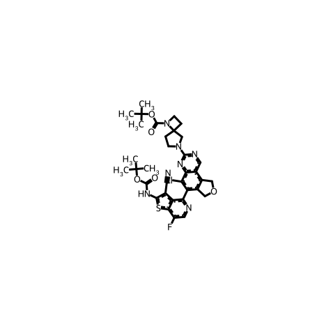 CC(C)(C)OC(=O)Nc1sc2c(F)cnc(-c3c4c(c5cnc(N6CCC7(CCN7C(=O)OC(C)(C)C)C6)nc5c3Cl)COC4)c2c1C#N